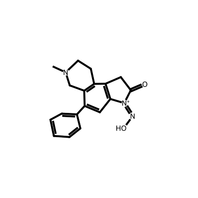 CN1CCc2c(c(-c3ccccc3)cc3c2CC(=O)[N+]3=NO)C1